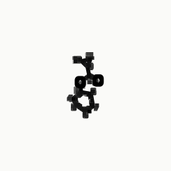 O=C(Oc1cc[c]cc1)C1CC1